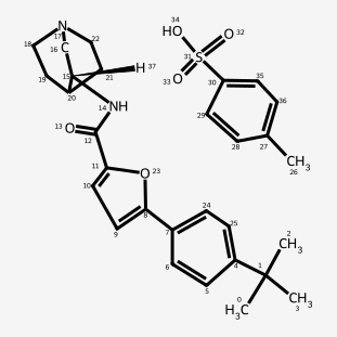 CC(C)(C)c1ccc(-c2ccc(C(=O)N[C@H]3CN4CCC3CC4)o2)cc1.Cc1ccc(S(=O)(=O)O)cc1